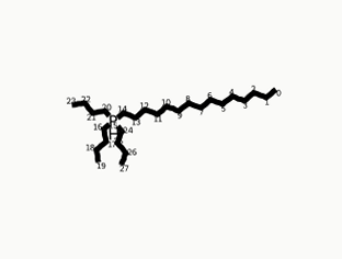 CCCCCCCCCCCCCCC[PH](CCCC)(CCCC)CCCC